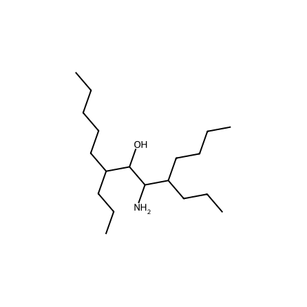 CCCCCC(CCC)C(O)C(N)C(CCC)CCCC